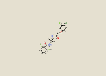 O=C(COc1ccc(Cl)c(F)c1)NC12CC(NC(=O)c3c(F)cccc3F)(C1)C2